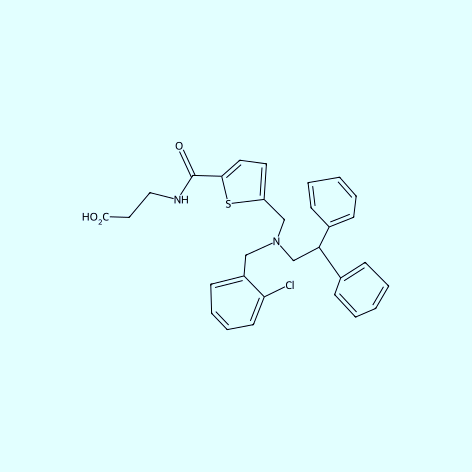 O=C(O)CCNC(=O)c1ccc(CN(Cc2ccccc2Cl)CC(c2ccccc2)c2ccccc2)s1